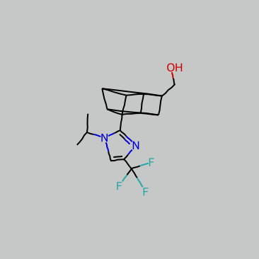 CC(C)n1cc(C(F)(F)F)nc1C12C3C4C1C1C2C3C41CO